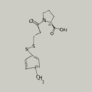 Cc1ccc(SSCCC(=O)N2CCC[C@H]2C(=O)O)cc1